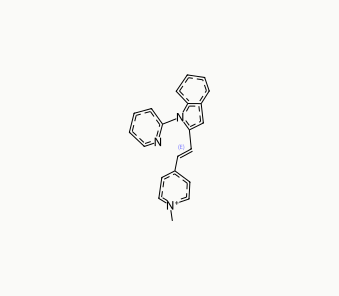 C[n+]1ccc(/C=C/c2cc3ccccc3n2-c2ccccn2)cc1